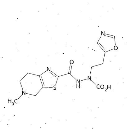 CN1CCc2nc(C(=O)NN(CCc3cnco3)C(=O)O)sc2C1